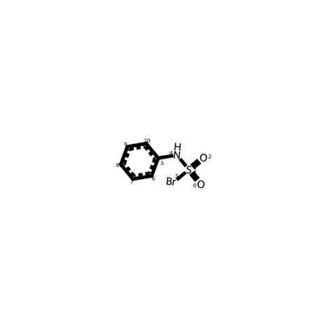 O=S(=O)(Br)Nc1cc[c]cc1